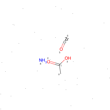 CC(=O)O.N.[O]=[Zr]